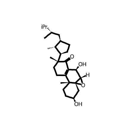 CC(C)[C@@H](C)C[C@H]1CC[C@@H]([C@@]2(C)CCC3=C(C2=O)[C@@H](O)[C@@H]2O[C@@]24C[C@@H](O)CC[C@]34C)[C@@H]1C